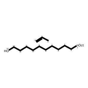 C=CC.CCCCCCCCCCCCCCCCCCO